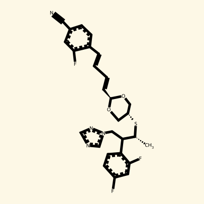 C[C@@H](S[C@H]1CO[C@H](/C=C/C=C/c2ccc(C#N)cc2F)OC1)[C](Cn1cncn1)c1ccc(F)cc1F